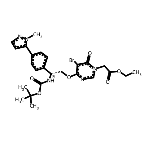 CCOC(=O)Cn1cnc(OC[C@H](NC(=O)OC(C)(C)C)c2ccc(-c3ccnn3C)cc2)c(Br)c1=O